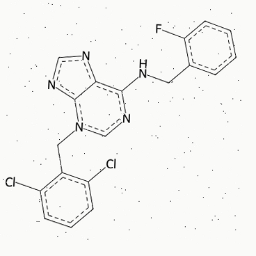 Fc1ccccc1CNc1ncn(Cc2c(Cl)cccc2Cl)c2ncnc1-2